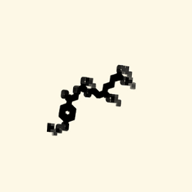 COc1ccc(C(=O)COC(C)OCCC(C)CCC=C(C)C)cc1